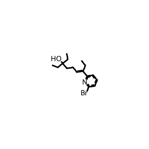 CCC(=CCCC(O)(CC)CC)c1cccc(Br)n1